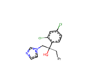 CC(C)CC(O)(Cn1ccnc1)c1ccc(Cl)cc1Cl